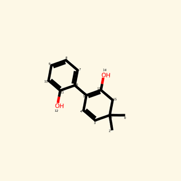 CC1(C)C=CC(c2ccccc2O)=C(O)C1